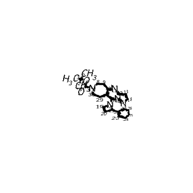 CC(C)(C)OC(=O)N1CCc2nc3ccnn3c(N3CCC3c3ccccc3)c2CC1